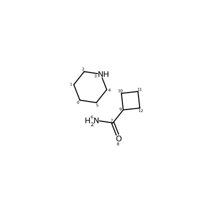 C1CCNCC1.NC(=O)C1CCC1